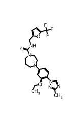 CCOc1cc(N2CCCN(C(=O)NCc3ccc(C(F)(F)F)o3)CC2)ccc1-n1cnc(C)n1